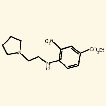 CCOC(=O)c1ccc(NCCN2CCCC2)c([N+](=O)[O-])c1